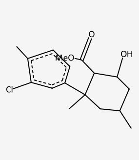 COC(=O)C1C(O)CC(C)CC1(C)c1ccc(C)c(Cl)c1